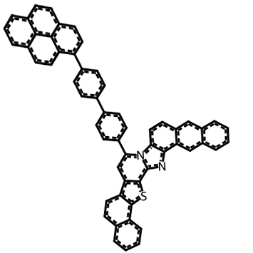 c1ccc2cc3c(ccc4c3nc3c5sc6c7ccccc7ccc6c5cc(-c5ccc(-c6ccc(-c7ccc8ccc9cccc%10ccc7c8c9%10)cc6)cc5)n43)cc2c1